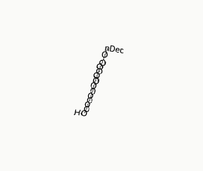 CCCCCCCCCCCCCOCCCCOCCOCCOCCOCCOCCOCCOCCOCCOCCOCCOCCO